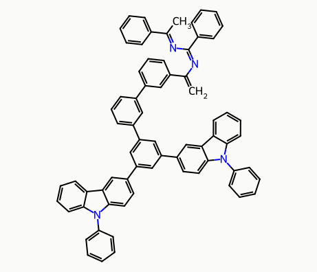 C=C(/N=C(\N=C(/C)c1ccccc1)c1ccccc1)c1cccc(-c2cccc(-c3cc(-c4ccc5c(c4)c4ccccc4n5-c4ccccc4)cc(-c4ccc5c(c4)c4ccccc4n5-c4ccccc4)c3)c2)c1